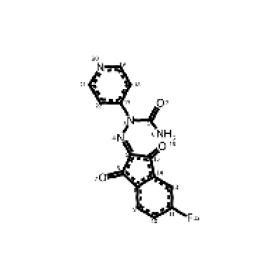 NC(=O)N(/N=c1/c(=O)c2ccc(F)cc2c1=O)c1ccncc1